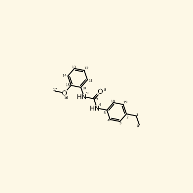 CCc1ccc(NC(=O)Nc2ccccc2OC)cc1